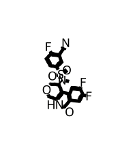 CN([C@@H]1COCc2[nH]c(=O)c3cc(F)c(F)cc3c21)S(=O)(=O)c1ccc(F)c(C#N)c1